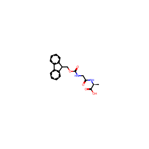 C[C@H](NC(=O)CNC(=O)OCC1c2ccccc2-c2ccccc21)C(=O)O